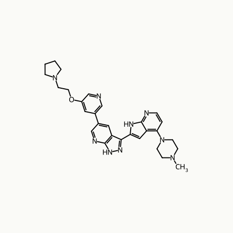 CN1CCN(c2ccnc3[nH]c(-c4n[nH]c5ncc(-c6cncc(OCCN7CCCC7)c6)cc45)cc23)CC1